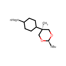 CCCCCCCC1CCC([C@]2(C)CO[C@H](CCCC)OC2)CC1